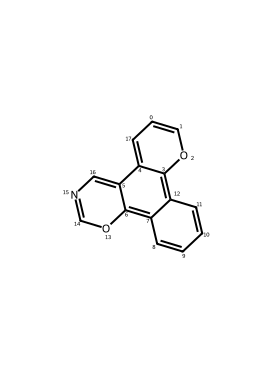 C1=COc2c(c3c(c4ccccc24)OC=NC=3)=C1